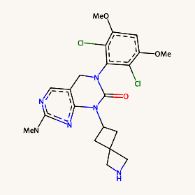 CNc1ncc2c(n1)N(C1CC3(CNC3)C1)C(=O)N(c1c(Cl)c(OC)cc(OC)c1Cl)C2